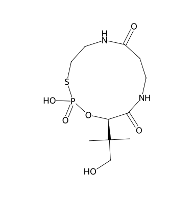 CC(C)(CO)[C@H]1OP(=O)(O)SCCNC(=O)CCNC1=O